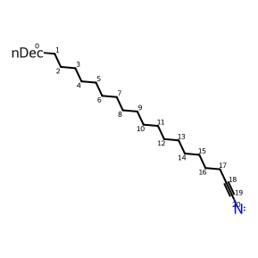 CCCCCCCCCCCCCCCCCCCCCCCCCCCC#C[N]